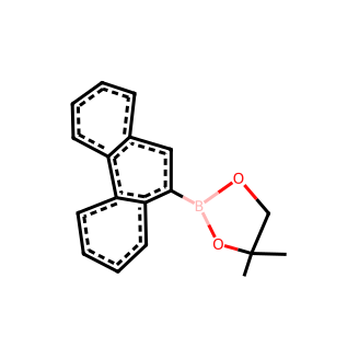 CC1(C)COB(c2cc3ccccc3c3ccccc23)O1